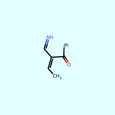 C/C=C(/C=N)C(=O)C(C)C